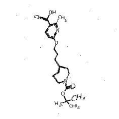 Cc1nc(OCCCC2CCN(C(=O)OC(C)(C)C)CC2)ccc1C(=O)O